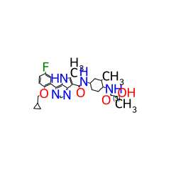 Cc1[nH]c2c(-c3cc(F)ccc3OCC3CC3)ncnc2c1C(=O)NC1CCC(NC(=O)[C@H](C)O)C(C)C1